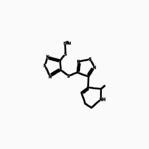 CCCCSc1nsnc1Sc1nsnc1C1=CCCNC1C